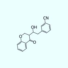 N#Cc1cccc(CC(O)C2COc3ccccc3C2=O)c1